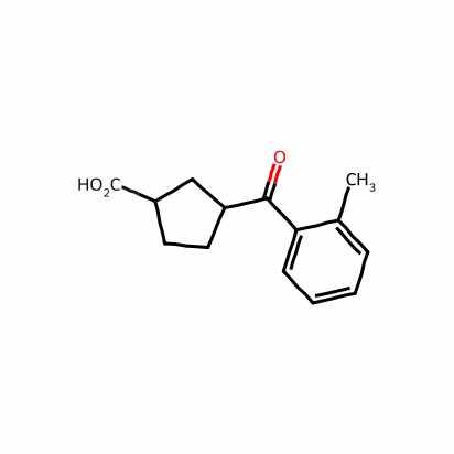 Cc1ccccc1C(=O)C1CCC(C(=O)O)C1